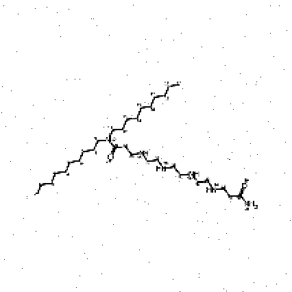 CCCCCCCCCCN(CCCCCCCCCC)C(=O)CCNCCNCCNCCNCCC(N)=O